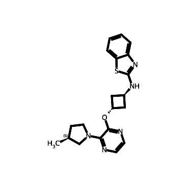 C[C@H]1CCN(c2nccnc2O[C@H]2C[C@H](Nc3nc4ccccc4s3)C2)C1